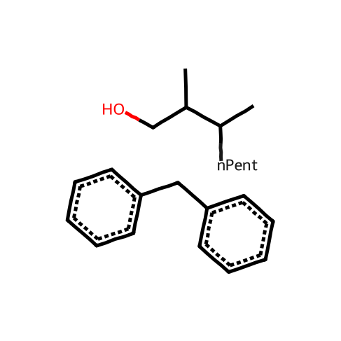 CCCCCC(C)C(C)CO.c1ccc(Cc2ccccc2)cc1